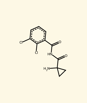 NC1(C(=O)NC(=O)c2cccc(Cl)c2Cl)CC1